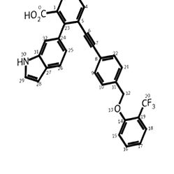 O=C(O)c1cccc(C#Cc2ccc(COc3ccccc3C(F)(F)F)cc2)c1-c1ccc2cc[nH]c2c1